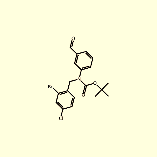 CC(C)(C)OC(=O)N(Cc1ccc(Cl)cc1Br)c1cccc(C=O)c1